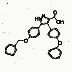 O=C(O)c1n[nH]c(-c2ccc(OCc3ccccc3)cc2)c1-c1ccc(Oc2ccccc2)cc1